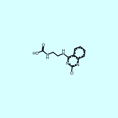 O=C(O)NCCNc1nc(Cl)nc2ccccc12